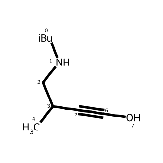 CCC(C)NCC(C)C#CO